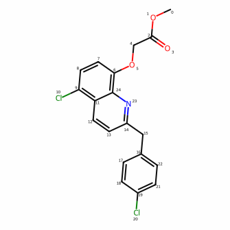 COC(=O)COc1ccc(Cl)c2ccc(Cc3ccc(Cl)cc3)nc12